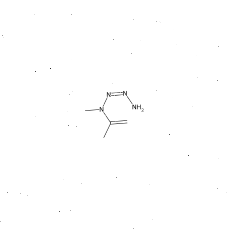 C=C(C)N(C)/N=N\N